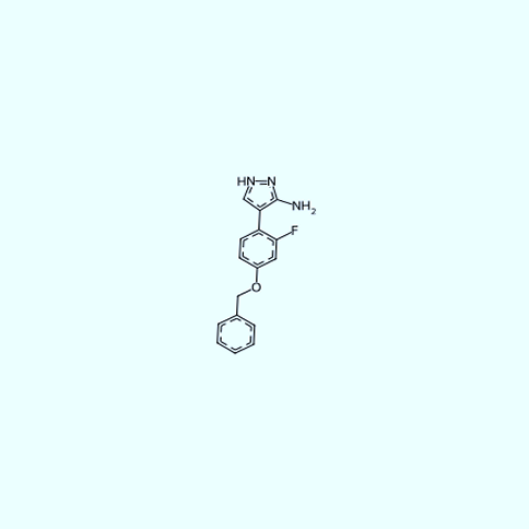 Nc1n[nH]cc1-c1ccc(OCc2ccccc2)cc1F